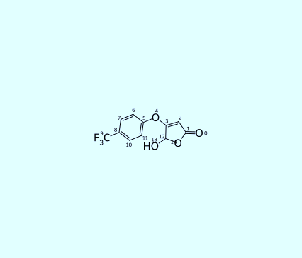 O=C1C=C(Oc2ccc(C(F)(F)F)cc2)C(O)O1